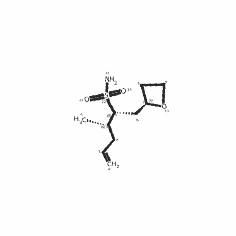 C=CC[C@H](C)[C@@H](C[C@H]1CCO1)S(N)(=O)=O